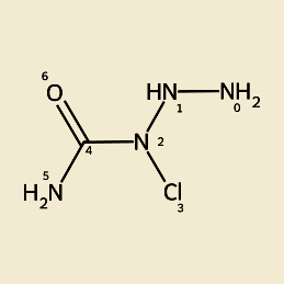 NNN(Cl)C(N)=O